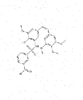 COc1cc(/C=C\c2cc(OC)c(OC)c(OC)c2)cc(NS(=O)(=O)c2cccc([N+](=O)[O-])c2)c1O